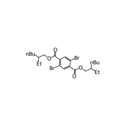 CCCCC(CC)COC(=O)c1cc(Br)c(C(=O)OCC(CC)CCCC)cc1Br